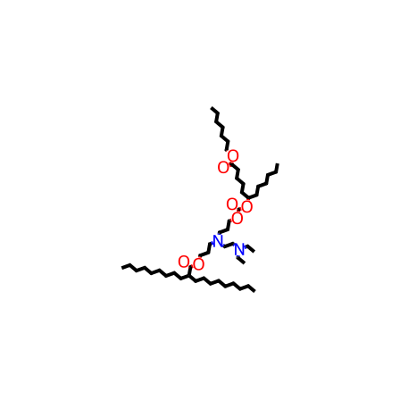 CCCCCCCCCC(CCCCCCCCC)C(=O)OCCCN(CCCOC(=O)OC(CCCCCC)CCCCC(=O)OCCCCCCC)CCN(CC)CC